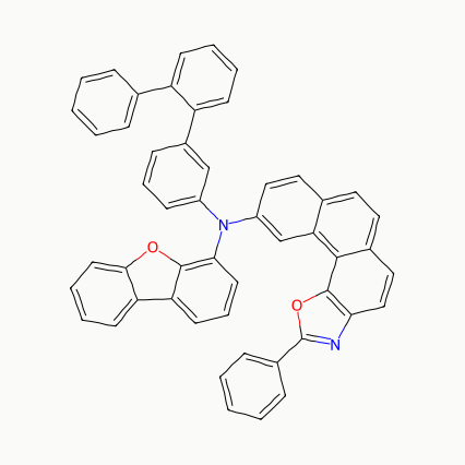 c1ccc(-c2nc3ccc4ccc5ccc(N(c6cccc(-c7ccccc7-c7ccccc7)c6)c6cccc7c6oc6ccccc67)cc5c4c3o2)cc1